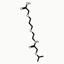 CC(C)OCC(=O)NCCOCCCOCC(=O)O